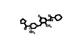 Cc1c(CN2CCN(C(=O)C3CCCC3)[C@@H](C)C2)cc(F)cc1NC(=O)C1CCCCC1